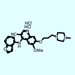 COc1cc2c(Nc3cccc4occc34)c(C#N)cnc2cc1OCCCN1CCN(C)CC1.Cl.Cl